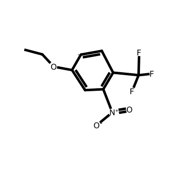 CCOc1[c]cc(C(F)(F)F)c([N+](=O)[O-])c1